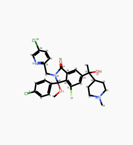 CO[C@]1(c2ccc(Cl)cc2)c2c(F)cc(C(C)(O)C3CCN(C)CC3)cc2C(=O)N1Cc1ccc(Cl)cn1